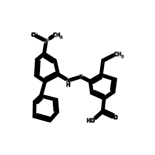 CCc1ccc(C(=O)O)cc1SNc1cc([S+](C)[O-])ccc1-c1ccccc1